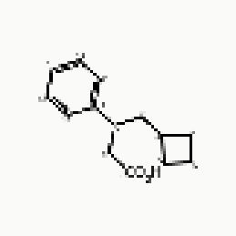 O=C(O)C[C@H](CC1CCC1)c1ccccc1